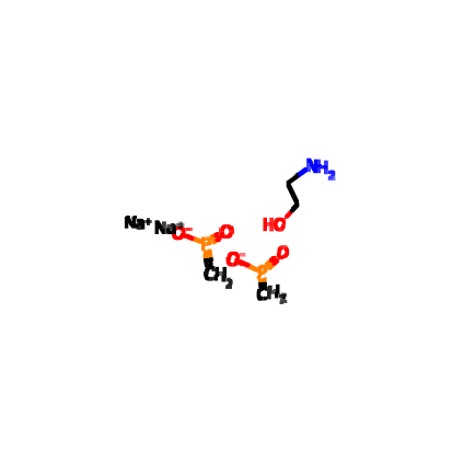 C=P(=O)[O-].C=P(=O)[O-].NCCO.[Na+].[Na+]